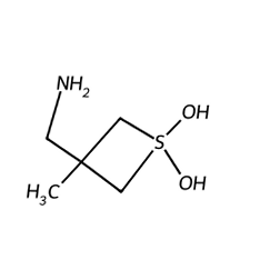 CC1(CN)CS(O)(O)C1